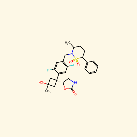 CC1CCC(c2ccccc2)S(=O)(=O)N1Cc1cc(F)c(C2([C@@H]3CNC(=O)O3)CC(C)(O)C2)cc1F